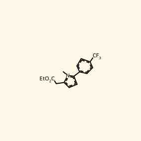 CCOC(=O)Cc1ccc(-c2ccc(C(F)(F)F)cc2)n1C